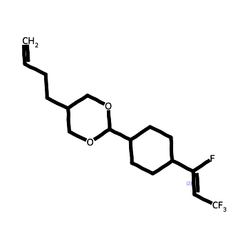 C=CCCC1COC(C2CCC(/C(F)=C/C(F)(F)F)CC2)OC1